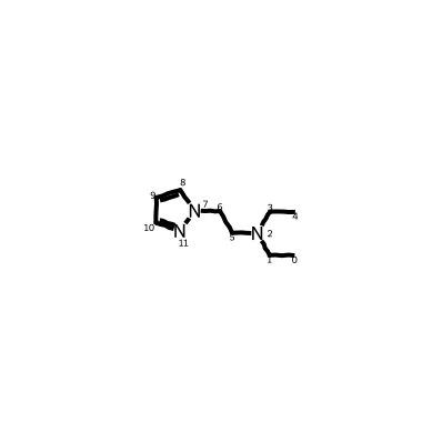 CCN(CC)CCn1cccn1